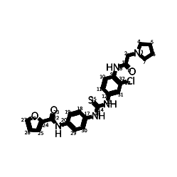 O=C(CN1CCCC1)Nc1ccc(NC(=S)Nc2ccc(NC(=O)c3ccco3)cc2)cc1Cl